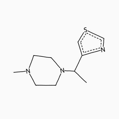 CC(c1cscn1)N1CCN(C)CC1